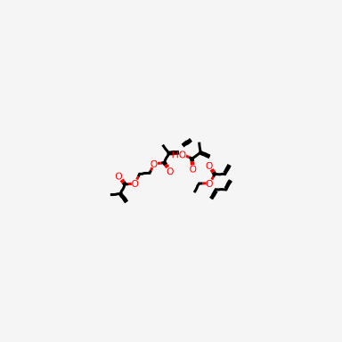 C=C.C=C(C)C(=O)O.C=C(C)C(=O)OCCOC(=O)C(=C)C.C=CC(=O)OCC.C=CC=C